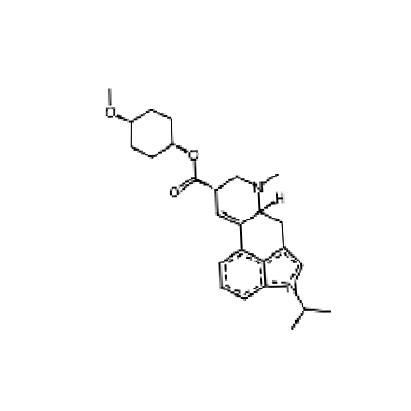 CO[C@H]1CC[C@@H](OC(=O)[C@@H]2C=C3c4cccc5c4c(cn5C(C)C)C[C@H]3N(C)C2)CC1